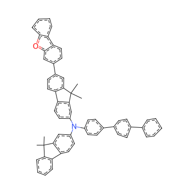 CC1(C)c2ccccc2-c2ccc(N(c3ccc(-c4ccc(-c5ccccc5)cc4)cc3)c3ccc4c(c3)C(C)(C)c3cc(-c5ccc6c(c5)oc5ccccc56)ccc3-4)cc21